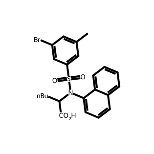 CCCCC(C(=O)O)N(c1cccc2ccccc12)S(=O)(=O)c1cc(C)cc(Br)c1